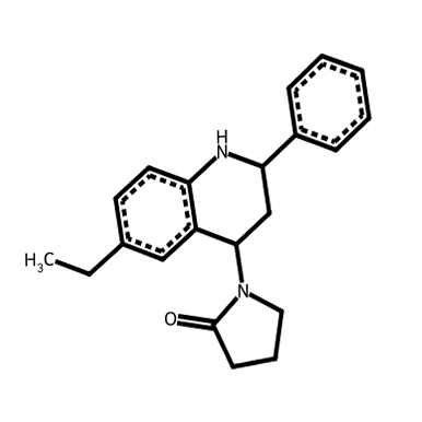 CCc1ccc2c(c1)C(N1CCCC1=O)CC(c1ccccc1)N2